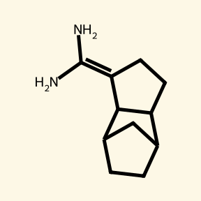 NC(N)=C1CCC2C3CCC(C3)C12